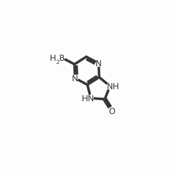 Bc1cnc2[nH]c(=O)[nH]c2n1